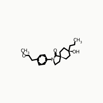 CCC[C@]1(O)CC[C@]2(CCN(c3ccc(CCOC)cc3)C2=O)CC1